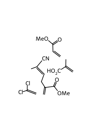 C=C(C)C(=O)O.C=C(CC=C(C)C#N)C(=O)OC.C=C(Cl)Cl.C=CC(=O)OC